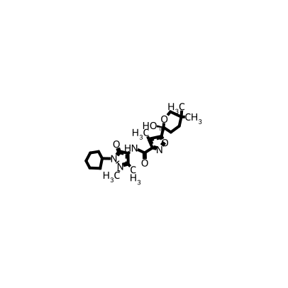 Cc1c(C(=O)Nc2c(C)n(C)n(C3CCCCC3)c2=O)noc1[C@@]1(O)CCC(C)(C)CO1